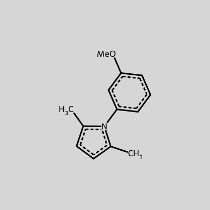 COc1cccc(-n2c(C)ccc2C)c1